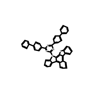 c1ccc(-c2ccc(-c3nc(-c4ccc(-c5ccccc5)cc4)nc(-n4c5ccccc5c5c6ccccc6c6c7ccccc7sc6c54)n3)cc2)cc1